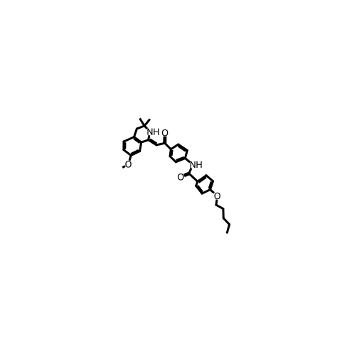 CCCCCOc1ccc(C(=O)Nc2ccc(C(=O)C=C3NC(C)(C)Cc4ccc(OC)cc43)cc2)cc1